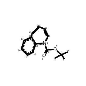 CC(C)(C)OC(=O)N1C=CC=Cc2ccccc21